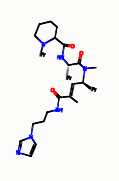 C/C(=C\[C@H](C(C)C)N(C)C(=O)[C@@H](NC(=O)C1CCCCN1C(C)C)C(C)C)C(=O)NCCCn1ccnc1